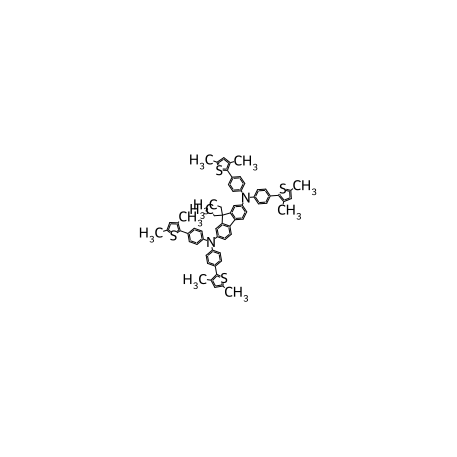 CCC1(CC)c2cc(N(c3ccc(-c4sc(C)cc4C)cc3)c3ccc(-c4sc(C)cc4C)cc3)ccc2-c2ccc(N(c3ccc(-c4sc(C)cc4C)cc3)c3ccc(-c4sc(C)cc4C)cc3)cc21